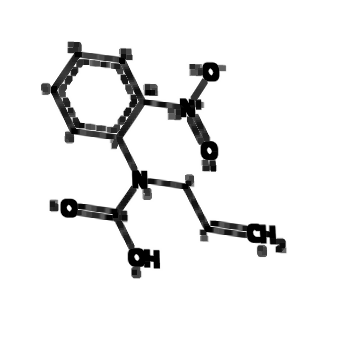 C=CCN(C(=O)O)c1ccccc1[N+](=O)[O-]